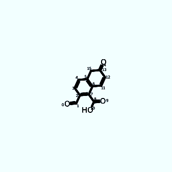 O=Cc1ccc2c(c1C(=O)O)C=CC(=O)C2